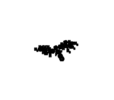 COC(=O)N[C@H](C(=O)N1CCC[C@H]1c1nc2c([nH]1)=CCC([C@H]1CC[C@H](c3ccc4[nH]c([C@@H]5CCCN5C(=O)[C@@H](NC(=O)OC)C(C)C)nc4c3)N1c1cc(F)c(N3CCC4(CCCCC4)CC3)c(F)c1)C=2)C(C)C